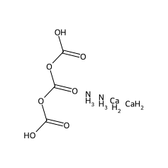 N.N.O=C(O)OC(=O)OC(=O)O.[CaH2].[CaH2]